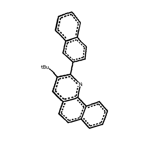 CC(C)(C)c1cc2ccc3ccccc3c2nc1-c1ccc2ccccc2c1